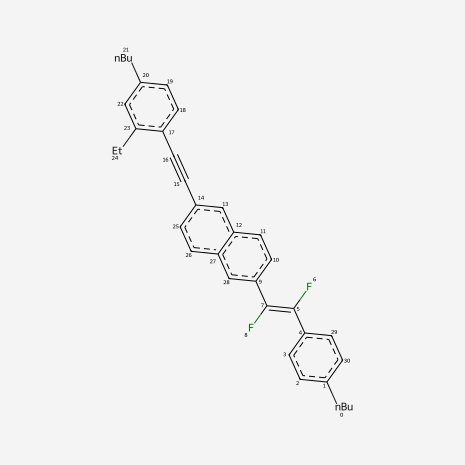 CCCCc1ccc(/C(F)=C(\F)c2ccc3cc(C#Cc4ccc(CCCC)cc4CC)ccc3c2)cc1